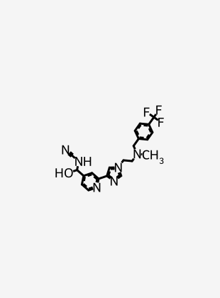 CN(CCn1cnc(-c2cc(C(O)NC#N)ccn2)c1)Cc1ccc(C(F)(F)F)cc1